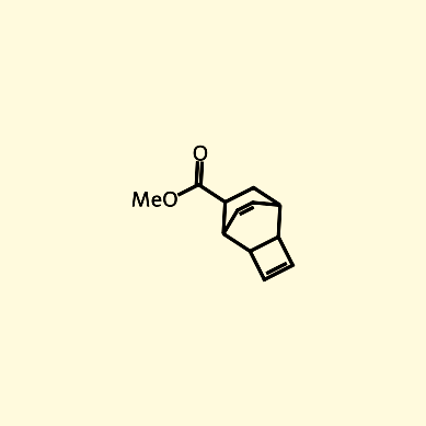 COC(=O)C1CC2C=CC1C1C=CC21